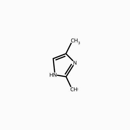 [CH]c1nc(C)c[nH]1